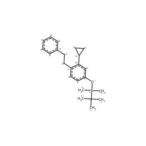 CC(C)(C)[Si](C)(C)Oc1ccc(CCc2ccccc2)c(C2CC2)c1